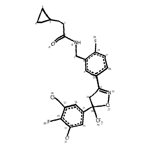 O=C(CC1CC1)NCc1cc(C2=NOC(c3cc(Cl)c(F)c(Cl)c3)(C(F)(F)F)C2)ccc1F